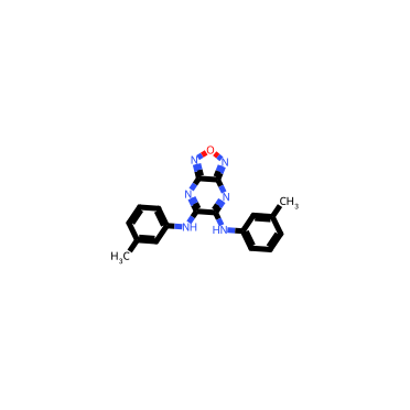 Cc1cccc(Nc2nc3nonc3nc2Nc2cccc(C)c2)c1